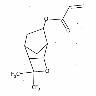 C=CC(=O)OC1CC2CC1C1OC(C(F)(F)F)(C(F)(F)F)C21